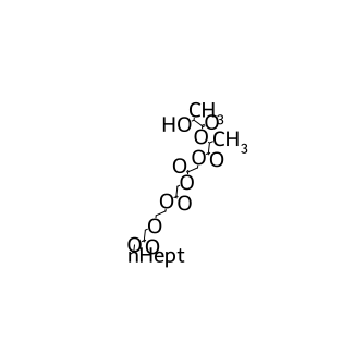 CCCCCCCOC(=O)COCCOC(=O)COC(=O)COC(=O)C(C)OC(=O)C(C)O